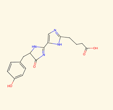 O=C(O)CCCc1ncc(C2=NC(=O)C(Cc3ccc(O)cc3)N2)[nH]1